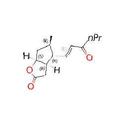 CCCC(=O)/C=C/[C@@H]1[C@H]2CC(=O)O[C@H]2C[C@H]1C